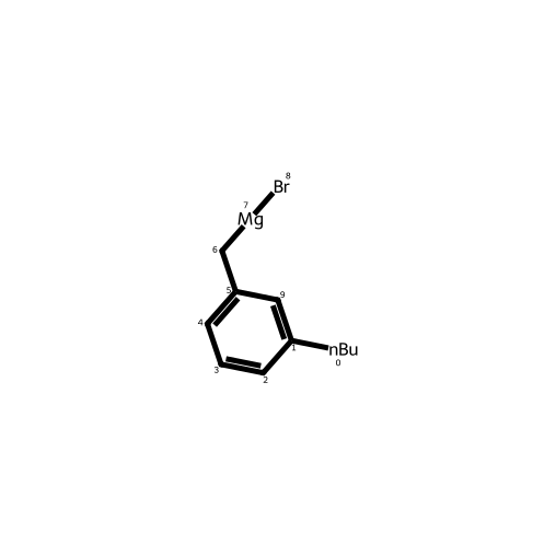 CCCCc1cccc([CH2][Mg][Br])c1